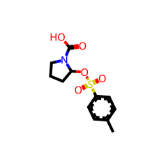 Cc1ccc(S(=O)(=O)OC2CCCN2C(=O)O)cc1